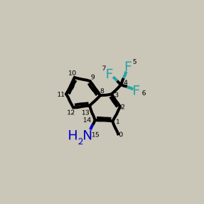 Cc1cc(C(F)(F)F)c2ccccc2c1N